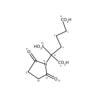 O=C(O)CCCC(C(=O)O)(N1C(=O)CCC1=O)S(=O)(=O)O